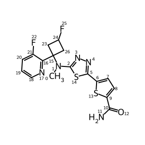 CN(c1nnc(-c2ccc(C(N)=O)s2)s1)C1(c2ncccc2F)CC(F)C1